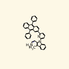 Cc1c(/C=C\N)n(-c2cccc(-c3ccc4c(-c5ccccc5)c5ccccc5c(-c5ccccc5)c4c3)n2)c2ccccc12